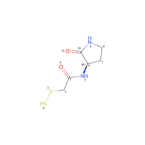 O=C(CSS)N[C@@H]1CCNC1=O